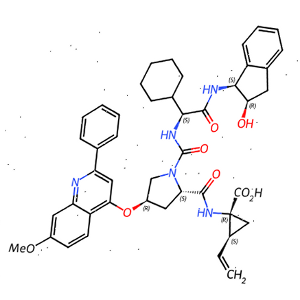 C=C[C@@H]1C[C@]1(NC(=O)[C@@H]1C[C@@H](Oc2cc(-c3ccccc3)nc3cc(OC)ccc23)CN1C(=O)N[C@H](C(=O)N[C@H]1c2ccccc2C[C@H]1O)C1CCCCC1)C(=O)O